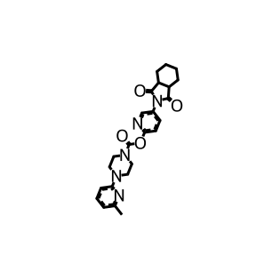 Cc1cccc(N2CCN(C(=O)Oc3ccc(N4C(=O)C5CCCCC5C4=O)cn3)CC2)n1